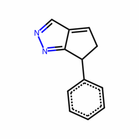 C1=NN=C2C1=CCC2c1ccccc1